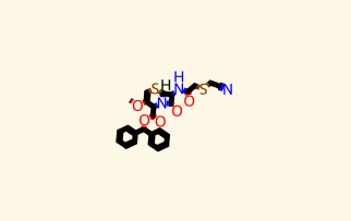 COC1=CS[C@@H]2C(NC(=O)CSCC#N)C(=O)N2C1C(=O)OC(c1ccccc1)c1ccccc1